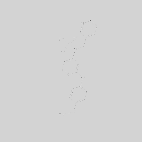 CCS(=O)(=O)N(Cc1cccnc1)c1cccc(Oc2ccc(OC(F)(F)F)cc2)c1